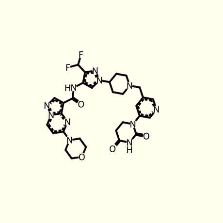 O=C1CCN(c2cncc(CN3CCC(n4cc(NC(=O)c5cnn6ccc(N7CCOCC7)nc56)c(C(F)F)n4)CC3)c2)C(=O)N1